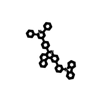 c1ccc(-c2cc(-c3ccc(-c4nc5ccc(-c6cccc(-n7c8ccccc8c8ccccc87)c6)cc5c5c4ccc4ccccc45)cc3)cc(-c3ccccc3)n2)cc1